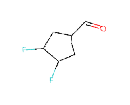 O=CC1CC(F)C(F)C1